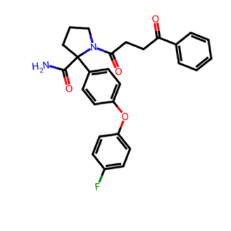 NC(=O)C1(c2ccc(Oc3ccc(F)cc3)cc2)CCCN1C(=O)CCC(=O)c1ccccc1